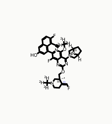 [2H]C([2H])([2H])Oc1nc(-c2cc(O)cc3ccc(F)c(C#C)c23)c(F)c2nc(OC[C@]3(C)CN(C([2H])([2H])[2H])CC/C3=C\F)nc(N3C[C@H]4CC[C@@H](C3)N4)c12